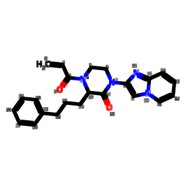 C=CC(=O)N1CCN(c2cn3ccccc3n2)C(=O)C1CCCc1ccccc1